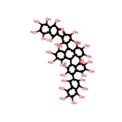 Oc1c(-c2c3c(O)c(O)c(O)c(O)c3c(-c3c(O)c(O)c(-c4c(O)c(O)c5c(O)c(O)c(O)c(O)c5c4O)c4c(O)c(O)c(O)c(O)c34)c3c(O)c(O)c(O)c(O)c23)c(O)c2c(oc3c(O)c4c(O)c(O)c(O)c(O)c4c(O)c32)c1O